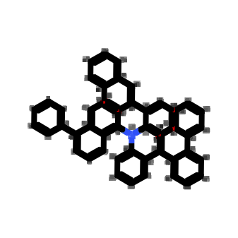 c1ccc(-c2cccc3c(N(c4ccccc4-c4ccc5ccccc5c4)c4ccccc4-c4cc5ccccc5c5ccccc45)cccc23)cc1